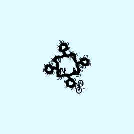 O=[N+]([O-])c1cccc(C2=C3C=CC(=N3)C(c3ccccc3)=C3C=CC(=N3)C(c3ccccc3)=C3C=CC(=N3)C(c3ccccc3)=C3C=CC2=N3)c1